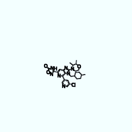 CC1CCC(Cn2c(N3CCOC(C)C3C)nc3cc(-c4noc(=O)[nH]4)nc(-c4cncc(Cl)c4)c32)CC1